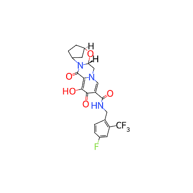 O=C(NCc1ccc(F)cc1C(F)(F)F)c1cn2c(c(O)c1=O)C(=O)N1C3CC[C@H](C3)O[C@@H]1C2